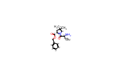 CC1(C)C[C@@H](C(=O)OCc2ccccc2)N(C(=O)[C@@H](N)C(C)(C)C)C1